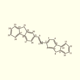 C(=N\c1ccc2c(c1)Cc1ccccc1-2)/c1ccc2c(c1)Cc1ccccc1-2